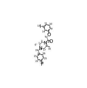 C[C@@H]1CN(C(=O)COc2cccc(I)c2)[C@@H](C)CN1Cc1ccc(F)cc1